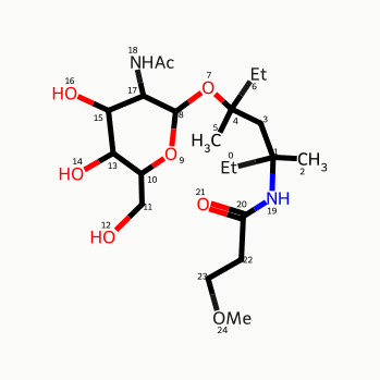 CCC(C)(CC(C)(CC)OC1OC(CO)C(O)C(O)C1NC(C)=O)NC(=O)CCOC